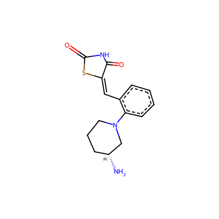 N[C@@H]1CCCN(c2ccccc2C=C2SC(=O)NC2=O)C1